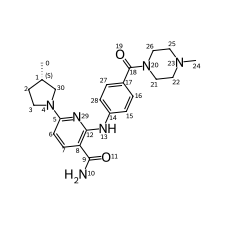 C[C@H]1CCN(c2ccc(C(N)=O)c(Nc3ccc(C(=O)N4CCN(C)CC4)cc3)n2)C1